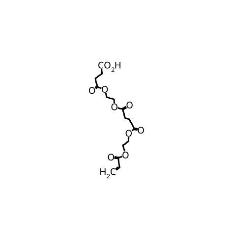 C=CC(=O)OCCOC(=O)CCC(=O)OCCOC(=O)CCC(=O)O